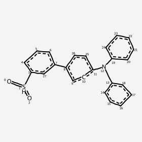 O=[SH](=O)c1cccc(-c2ccc(N(c3ccccc3)c3ccccc3)cc2)c1